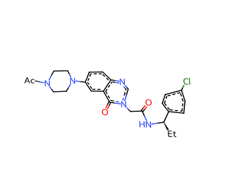 CC[C@@H](NC(=O)Cn1cnc2ccc(N3CCN(C(C)=O)CC3)cc2c1=O)c1ccc(Cl)cc1